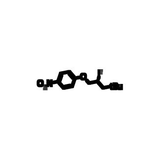 CC(C)(C)C[C@H](F)COc1ccc([N+](=O)[O-])cc1